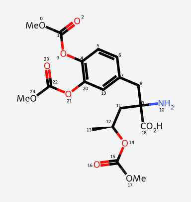 COC(=O)Oc1ccc(CC(N)(C[C@H](C)OC(=O)OC)C(=O)O)cc1OC(=O)OC